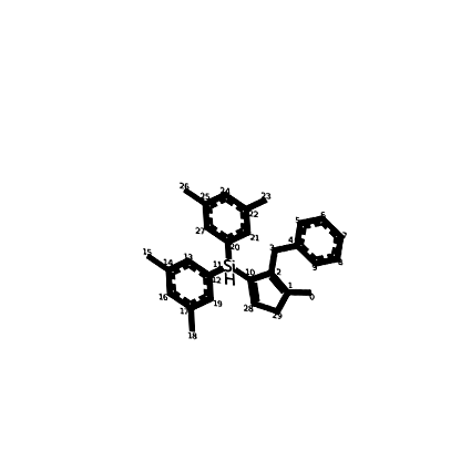 CC1=C(Cc2ccccc2)C([SiH](c2cc(C)cc(C)c2)c2cc(C)cc(C)c2)=CC1